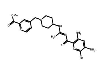 COC(=O)c1cc(CN2CCC(N/C(N)=N/C(=O)c3nc(Br)c(N)nc3N)CC2)ccn1